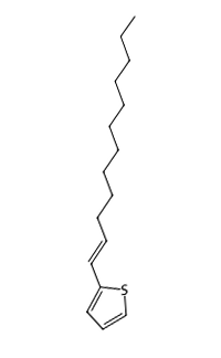 CCCCCCCCCC/C=C/c1cccs1